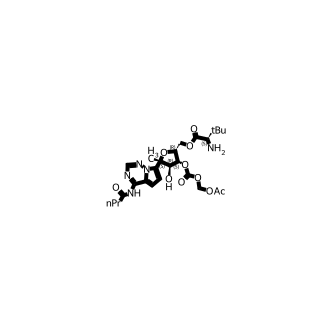 CCCC(=O)Nc1ncnn2c([C@]3(C)O[C@H](COC(=O)[C@@H](N)C(C)(C)C)[C@@H](OC(=O)OCOC(C)=O)[C@H]3O)ccc12